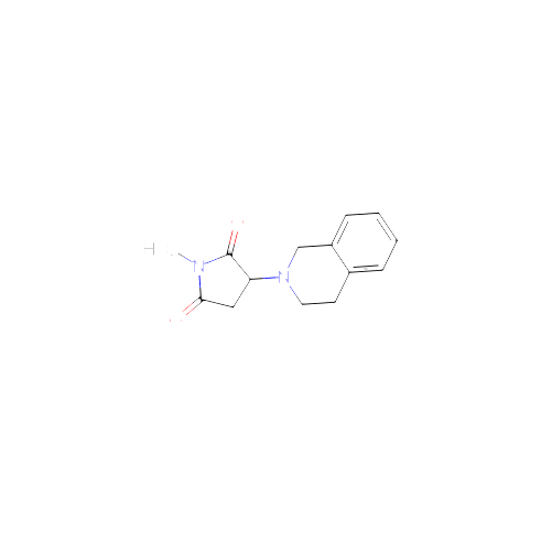 CN1C(=O)CC(N2CCc3ccccc3C2)C1=O